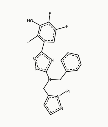 CC(C)n1nccc1CN(Cc1ccccc1)c1noc(-c2cc(F)c(F)c(O)c2F)n1